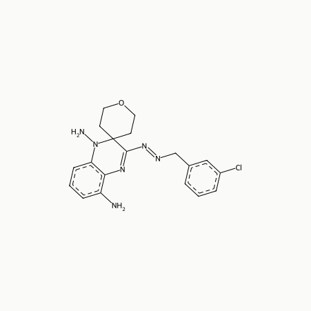 Nc1cccc2c1N=C(N=NCc1cccc(Cl)c1)C1(CCOCC1)N2N